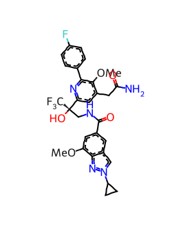 COc1c(CC(N)=O)cc([C@@](O)(CNC(=O)c2cc(OC)c3nn(C4CC4)cc3c2)C(F)(F)F)nc1-c1ccc(F)cc1